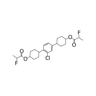 CC(F)C(=O)OC1CCC(c2ccc(C3CCC(OC(=O)C(C)F)CC3)c(Cl)c2)CC1